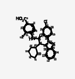 O=C(O)c1ccc(NC(=O)C(c2c3ccccc3nn2-c2ccc(Cl)cc2)C2CCCCC2)c(F)c1